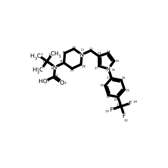 CC(C)(C)N(C(=O)O)C1CCN(Cc2ccn(-c3ccc(C(F)(F)F)cc3)c2)CC1